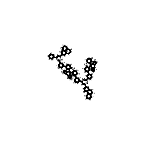 C1=Cc2cc(-c3cc(-c4ccccc4)nc(-c4cccc(-c5ccc6c(c5)C5(c7cc(-c8cccc(-c9cc(-c%10ccc%11c(ccc%12ccccc%12%11)c%10)nc(-c%10cccc(-c%11ccc%12c(c%11)C%11(c%13ccccc%13O%12)c%12ccccc%12-c%12ccccc%12%11)c%10)n9)c8)ccc7O6)c6ccccc6-c6ccccc65)c4)n3)cc3cccc(c23)C1